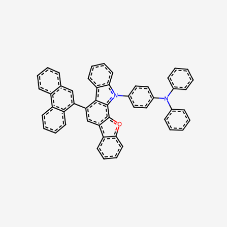 c1ccc(N(c2ccccc2)c2ccc(-n3c4ccccc4c4c(-c5cc6ccccc6c6ccccc56)cc5c6ccccc6oc5c43)cc2)cc1